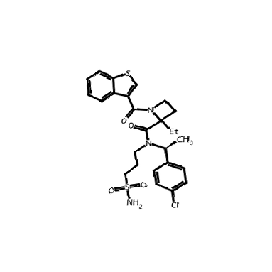 CCC1(C(=O)N(CCCS(N)(=O)=O)[C@@H](C)c2ccc(Cl)cc2)CCN1C(=O)c1csc2ccccc12